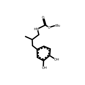 CC(CNC(=O)OC(C)(C)C)Cc1ccc(O)c(O)c1